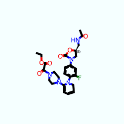 CCOC(=O)C(=O)N1CCN(C2=CC=CCN2c2ccc(N3C[C@H](CNC(C)=O)OC3=O)cc2F)CC1